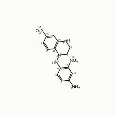 Nc1ccc(NN2CCNc3cc([N+](=O)[O-])ccc32)c([N+](=O)[O-])c1